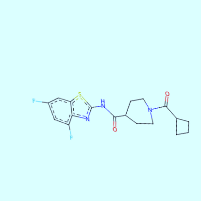 O=C(Nc1nc2c(F)cc(F)cc2s1)C1CCN(C(=O)C2CCC2)CC1